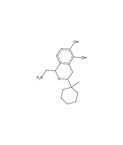 CC1(C2Cc3c(ccc(O)c3O)C(CN)O2)CCCCC1